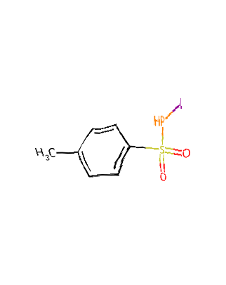 Cc1ccc(S(=O)(=O)PI)cc1